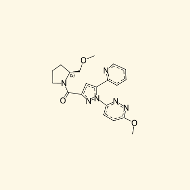 COC[C@@H]1CCCN1C(=O)c1cc(-c2ccccn2)n(-c2ccc(OC)nn2)n1